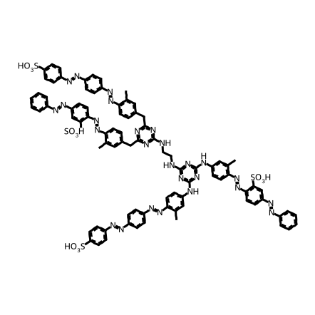 Cc1cc(Cc2nc(Cc3ccc(N=Nc4ccc(N=Nc5ccccc5)cc4S(=O)(=O)O)c(C)c3)nc(NCCNc3nc(Nc4ccc(N=Nc5ccc(N=Nc6ccc(S(=O)(=O)O)cc6)cc5)c(C)c4)nc(Nc4ccc(N=Nc5ccc(N=Nc6ccccc6)cc5S(=O)(=O)O)c(C)c4)n3)n2)ccc1N=Nc1ccc(N=Nc2ccc(S(=O)(=O)O)cc2)cc1